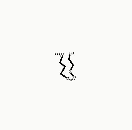 CCOC(=O)CCCC(=O)OCC.CCOCCO